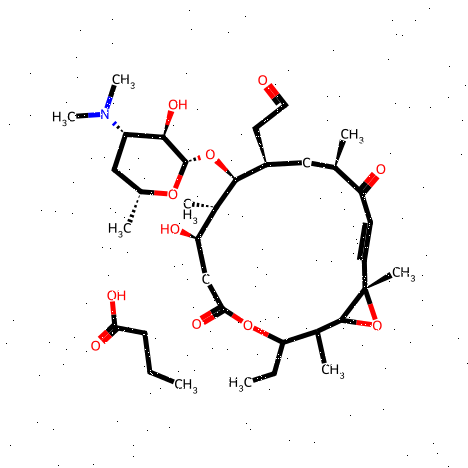 CCC1OC(=O)C[C@@H](O)[C@H](C)[C@@H](O[C@@H]2O[C@H](C)C[C@H](N(C)C)[C@H]2O)[C@@H](CC=O)C[C@@H](C)C(=O)/C=C/[C@]2(C)OC2C1C.CCCC(=O)O